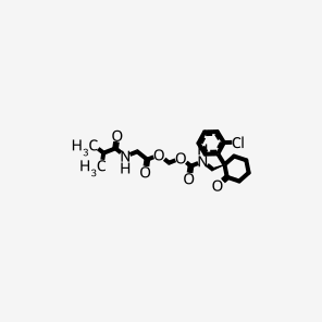 CC(C)C(=O)NCC(=O)OCOC(=O)NC[C@@]1(c2ccccc2Cl)CCCCC1=O